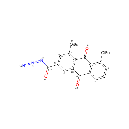 CC(C)COc1cccc2c1C(=O)c1c(OCC(C)C)cc(C(=O)N=[N+]=[N-])cc1C2=O